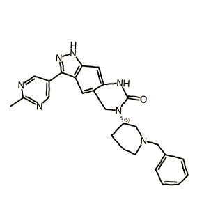 Cc1ncc(-c2n[nH]c3cc4c(cc23)CN([C@H]2CCCN(Cc3ccccc3)C2)C(=O)N4)cn1